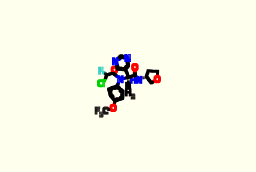 B[C@@](C(=O)N[C@@H]1CCOC1)(c1cncnc1)N(C(=O)[C@H](F)Cl)c1ccc(OC(F)(F)F)cc1